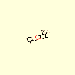 C=C1CC(OC(=O)Cc2ccc(C)cc2C)C(=C)C(C(=O)OCC)C1=C